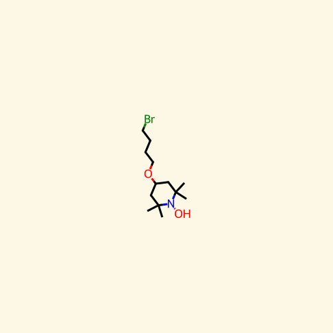 CC1(C)CC(OCCCCBr)CC(C)(C)N1O